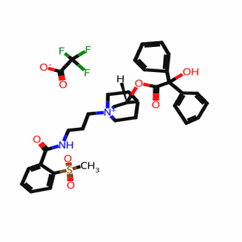 CS(=O)(=O)c1ccccc1C(=O)NCCC[N+]12CCC(CC1)[C@@H](OC(=O)C(O)(c1ccccc1)c1ccccc1)C2.O=C([O-])C(F)(F)F